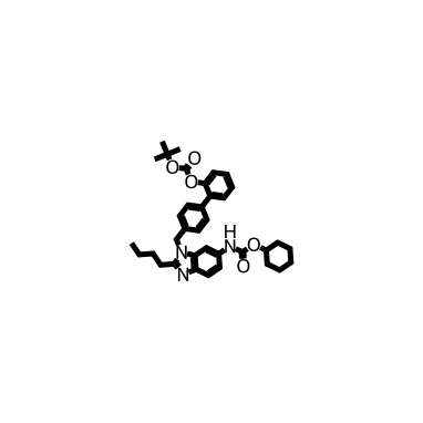 CCCCc1nc2ccc(NC(=O)OC3CCCCC3)cc2n1Cc1ccc(-c2ccccc2OC(=O)OC(C)(C)C)cc1